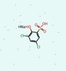 O=S(=O)(O)c1cc(Cl)cc(Cl)c1O.[NaH]